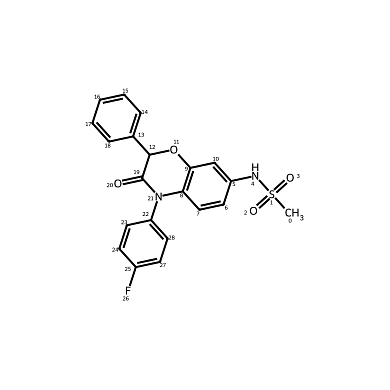 CS(=O)(=O)Nc1ccc2c(c1)OC(c1ccccc1)C(=O)N2c1ccc(F)cc1